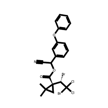 CC1(C)C[C@@]1(C(=O)OC(C#N)c1cccc(Oc2ccccc2)c1)[C@H](Br)C(Cl)(Cl)Br